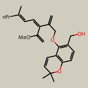 C=C(COc1c(CO)ccc2c1C=CC(C)(C)O2)/C(=C/C=C(\C)CCC)C(=C)OC